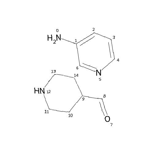 Nc1cccnc1.O=CC1CCNCC1